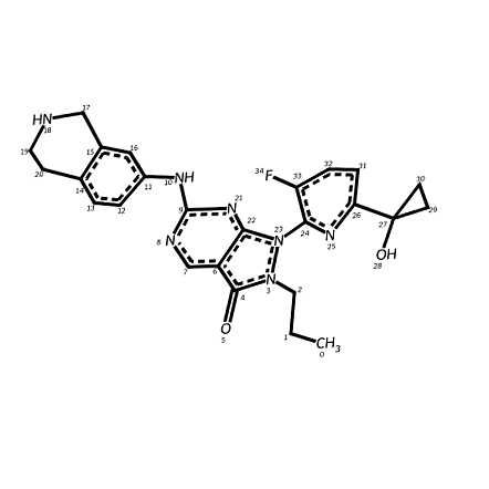 CCCn1c(=O)c2cnc(Nc3ccc4c(c3)CNCC4)nc2n1-c1nc(C2(O)CC2)ccc1F